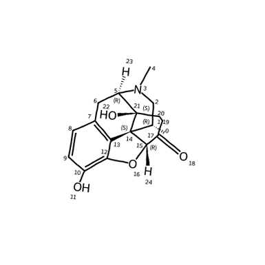 C[C@H]1CN(C)[C@@H]2Cc3ccc(O)c4c3[C@]13[C@@H](O4)C(=O)CC[C@@]23O